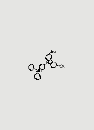 CC(C)(C)c1ccc2c(c1)c1cc(C(C)(C)C)ccc1n2-c1ccc([SiH](c2ccccc2)c2ccccc2)cc1